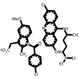 CCN(CC)CCCC(C)Nc1c2ccc(Cl)cc2nc2ccc(OC)cc12.COc1ccc2c(c1)c(CC(=O)O)c(C)n2C(=O)c1ccc(Cl)cc1